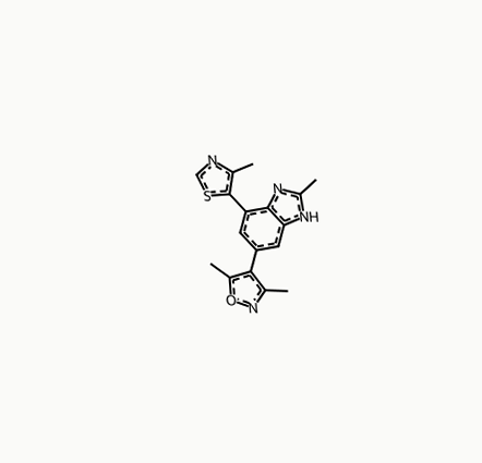 Cc1nc2c(-c3scnc3C)cc(-c3c(C)noc3C)cc2[nH]1